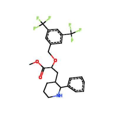 COC(=O)C(CC1CCCNC1c1ccccc1)OCc1cc(C(F)(F)F)cc(C(F)(F)F)c1